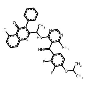 CC(C)Oc1ccc(C(=N)c2c(N)ncnc2NC(C)c2nc3cccc(F)c3c(=O)n2-c2ccccc2)c(F)c1F